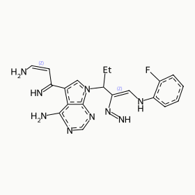 CCC(/C(=C/Nc1ccccc1F)N=N)n1cc(C(=N)/C=C\N)c2c(N)ncnc21